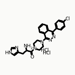 Cl.Cl.NC(Cc1c[nH]cn1)C(=O)N1CCN(c2nnc(-c3ccc(Cl)cc3)c3ccccc23)CC1